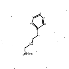 [CH2]CCCCCCOCCc1ccccc1